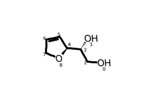 OC[C@@H](O)[C@@H]1C=CCO1